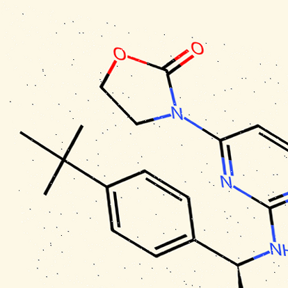 C[C@H](Nc1nccc(N2CCOC2=O)n1)c1ccc(C(C)(C)C)cc1